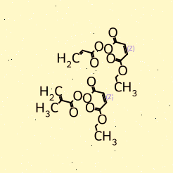 C=C(C)C(=O)OOC(=O)/C=C\C(=O)OCC.C=CC(=O)OOC(=O)/C=C\C(=O)OCC